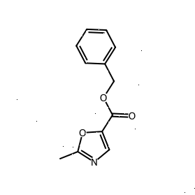 Cc1ncc(C(=O)OCc2ccccc2)o1